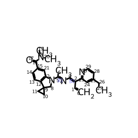 C=C/C(=C\N=C(/C)N1CC2(CC2)c2ccc(C(=O)N(C)C)cc21)c1cc(CC)ccn1